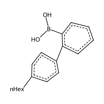 CCCCCCc1ccc(-c2ccccc2B(O)O)cc1